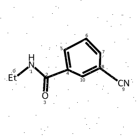 [CH2]CNC(=O)c1cccc(C#N)c1